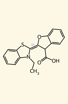 CCN1/C(=C2/Oc3ccccc3C2C(=O)O)Sc2ccccc21